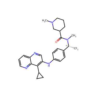 CN1CCCC(C(=O)N(C)[C@@H](c2ccc(Nc3cnc4cccnc4c3C3CC3)cc2)C(F)(F)F)C1